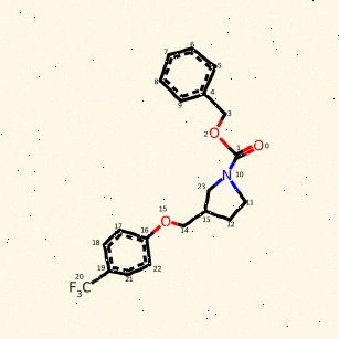 O=C(OCc1ccccc1)N1CCC(COc2ccc(C(F)(F)F)cc2)C1